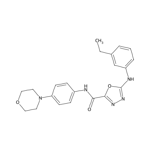 CCc1cccc(Nc2nnc(C(=O)Nc3ccc(N4CCOCC4)cc3)o2)c1